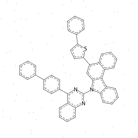 c1ccc(-c2ccc(-c3nc(-n4c5ccccc5c5c6ccccc6c(-c6ccc(-c7ccccc7)s6)cc54)nc4ccccc34)cc2)cc1